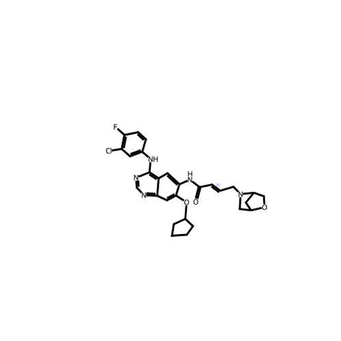 O=C(/C=C/CN1CC2CC1CO2)Nc1cc2c(Nc3ccc(F)c(Cl)c3)ncnc2cc1OC1CCCC1